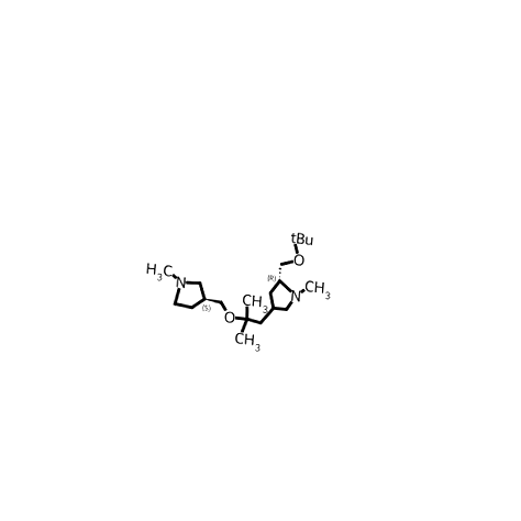 CN1CC[C@H](COC(C)(C)CC2C[C@H](COC(C)(C)C)N(C)C2)C1